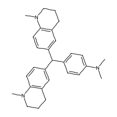 CN(C)c1ccc(C(c2ccc3c(c2)CCCN3C)c2ccc3c(c2)CCCN3C)cc1